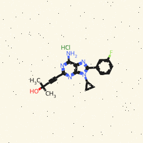 CC(C)(O)C#Cc1nc(N)c2nc(-c3cccc(F)c3)n(C3CC3)c2n1.Cl